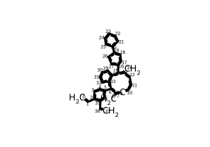 C=Cc1ccc(-c2c(=C)ccccc(=C)c(-c3ccc(-c4ccccc4)cc3)c3ccccc23)cc1C=C